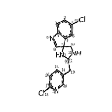 Clc1ccc2c(c1)C1(C=N2)CN[C@@H](Cc2ccc(Cl)nc2)N1